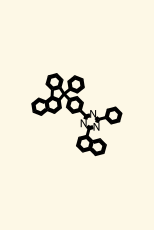 c1ccc(-c2nc(-c3ccc(C4(c5ccccc5)c5ccccc5-c5c4ccc4ccccc54)cc3)nc(-c3cccc4ccccc34)n2)cc1